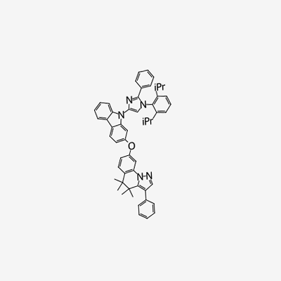 CC(C)c1cccc(C(C)C)c1-n1cc(-n2c3ccccc3c3ccc(Oc4ccc5c(c4)-n4ncc(-c6ccccc6)c4C(C)(C)C5(C)C)cc32)nc1-c1ccccc1